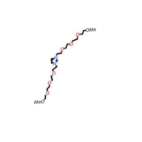 COCCOCCOCCOCCn1cc[n+](CCOCCOCCOCCOC)c1